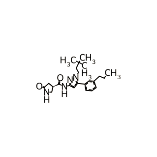 CCCc1cccc(-c2cc(NC(=O)[C@H]3CNC(=O)C3)nn2CCC(C)(C)C)c1